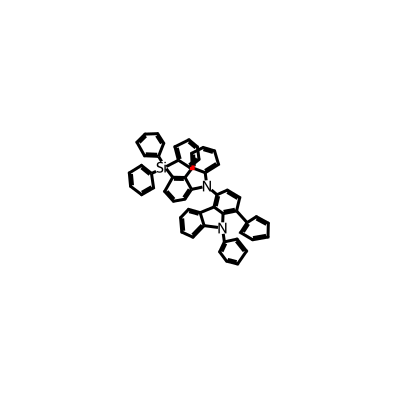 c1ccc(-c2ccc(-n3c4ccccc4c4c([Si](c5ccccc5)(c5ccccc5)c5ccccc5)cccc43)c3c4ccccc4n(-c4ccccc4)c23)cc1